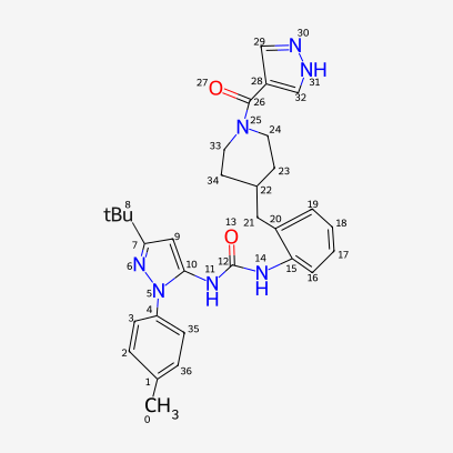 Cc1ccc(-n2nc(C(C)(C)C)cc2NC(=O)Nc2ccccc2CC2CCN(C(=O)c3cn[nH]c3)CC2)cc1